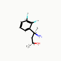 C[C@](N)(C[C@H](O)C(F)(F)F)c1cccc(F)c1F